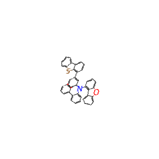 c1ccc(-c2ccccc2N(c2cccc(-c3cccc4c3sc3ccccc34)c2)c2cccc3oc4ccccc4c23)cc1